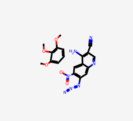 COc1cccc(OC)c1OC.N#Cc1cnc2cc(N=[N+]=[N-])c([N+](=O)[O-])cc2c1N